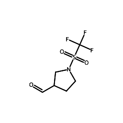 O=CC1CCN(S(=O)(=O)C(F)(F)F)C1